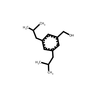 CC(C)Cc1cc([CH]O)cc(CC(C)C)c1